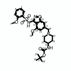 COc1ccccc1S(=O)(=O)Nc1noc2cc(CN3CCC(NC(=O)OC(C)(C)C)CC3)cc(OC)c12